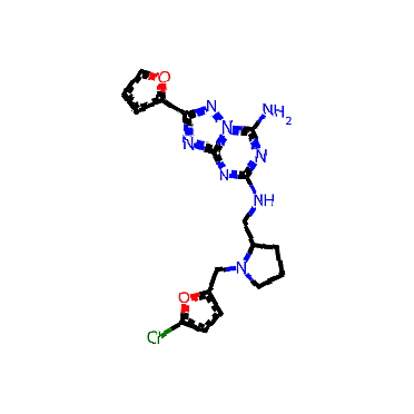 Nc1nc(NCC2CCCN2Cc2ccc(Cl)o2)nc2nc(-c3ccco3)nn12